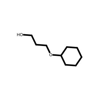 OCCCOC1CCCCC1